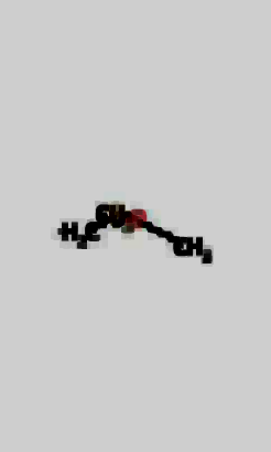 [CH2]CCC(C)c1cc2sc(OCCCCCCCCC)cc2s1